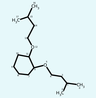 CC(C)CCOC1CCCCC1OCCC(C)C